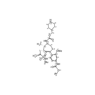 C=C(C[C@H]1N=C(c2ncc(NC(=O)OC(C)C)cc2OC)SCC(NC(=O)OCC2CCNCC2)[C@H]1C)S(=O)(=O)NC(C)(C)C